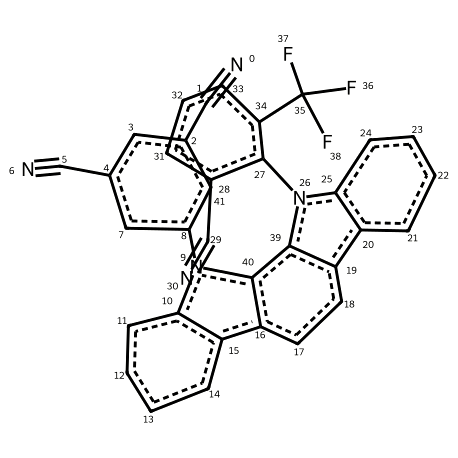 N#Cc1cc(C#N)cc(-n2c3ccccc3c3ccc4c5ccccc5n(-c5c(C#N)cccc5C(F)(F)F)c4c32)c1